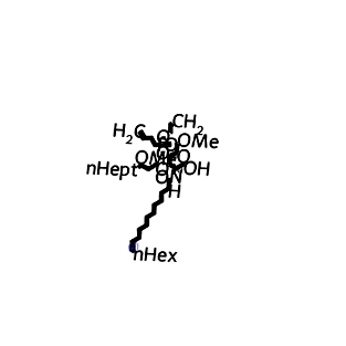 C=CCCP(=O)(OCC=C)O[C@@H]1C(COC)OC(O)[C@H](NC(=O)CCCCCCCCC/C=C\CCCCCC)C1OCCC(CCCCCCC)OC